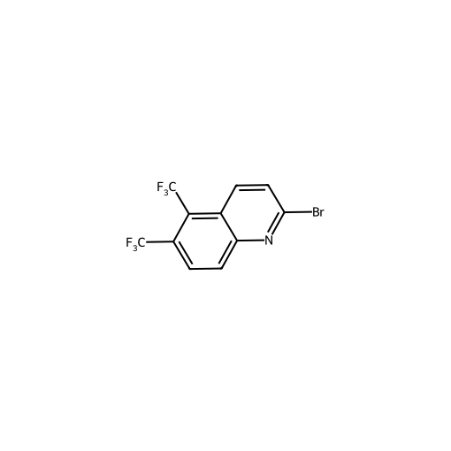 FC(F)(F)c1ccc2nc(Br)ccc2c1C(F)(F)F